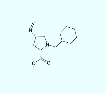 C=N[C@H]1C[C@@H](C(=O)OC)N(CC2CCCCC2)C1